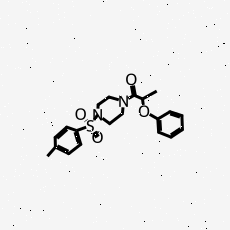 Cc1ccc(S(=O)(=O)N2CCN(C(=O)C(C)Oc3ccccc3)CC2)cc1